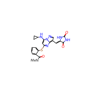 CNC(=O)c1ccccc1Sc1cc(NC2CC2)n2ncc(/C=C3\NC(=O)NC3=O)c2n1